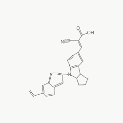 C=Cc1ccc2cc(N3c4ccc(/C=C(\C#N)C(=O)O)cc4C4CCCC43)ccc2c1